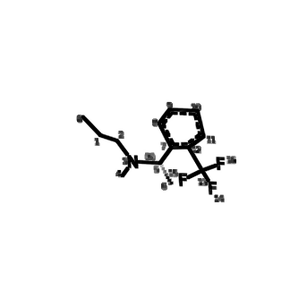 CCCN(C)[C@@H](C)c1ccccc1C(F)(F)F